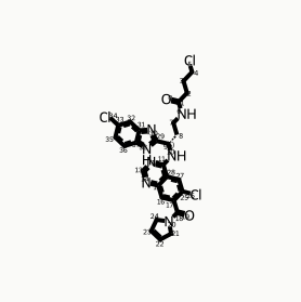 O=C(CCCCl)NCC[C@H](Nc1ncnc2cc(C(=O)N3CC=CC3)c(Cl)cc12)c1nc2cc(Cl)ccc2[nH]1